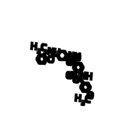 COc1ccc(CNc2ccc(S(=O)(=O)NC3CCC(C(=O)N[C@H](C)c4ccccc4)CC3)cc2[N+](=O)[O-])cc1